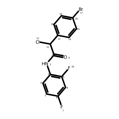 O=C(Nc1ccc(F)cc1F)C(Cl)c1ccc(Br)cc1